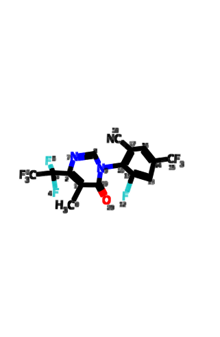 Cc1c(C(F)(F)C(F)(F)F)ncn(-c2c(F)cc(C(F)(F)F)cc2C#N)c1=O